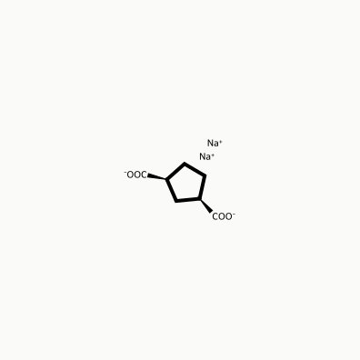 O=C([O-])[C@@H]1CC[C@H](C(=O)[O-])C1.[Na+].[Na+]